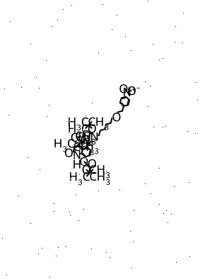 CC(C)(C)OC(=O)Oc1ccc([C@H](CN(CCCCCCOCCc2ccc([N+](=O)[O-])cc2)C(=O)OC(C)(C)C)O[Si](C)(C)C(C)(C)C)c2ccc(=O)[nH]c12